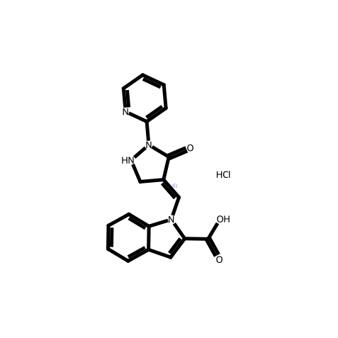 Cl.O=C(O)c1cc2ccccc2n1/C=C1\CNN(c2ccccn2)C1=O